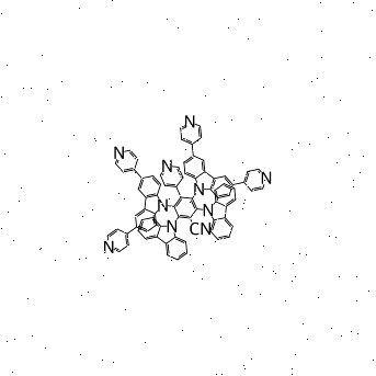 N#Cc1c(-n2c3ccccc3c3ccccc32)c(-n2c3ccc(-c4ccncc4)cc3c3cc(-c4ccncc4)ccc32)c(-c2ccncc2)c(-n2c3ccc(-c4ccncc4)cc3c3cc(-c4ccncc4)ccc32)c1-n1c2ccccc2c2ccccc21